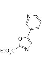 CCOC(=O)c1ncc(-c2cccnc2)o1